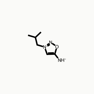 CC(C)C[n+]1cc([NH-])on1